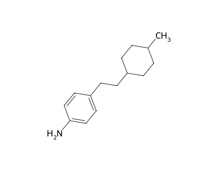 CC1CCC(CCc2ccc(N)cc2)CC1